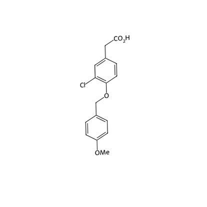 COc1ccc(COc2ccc(CC(=O)O)cc2Cl)cc1